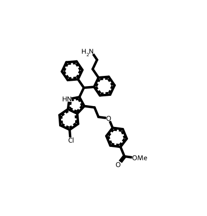 COC(=O)c1ccc(OCCc2c(C(c3ccccc3)c3ccccc3CCN)[nH]c3ccc(Cl)cc23)cc1